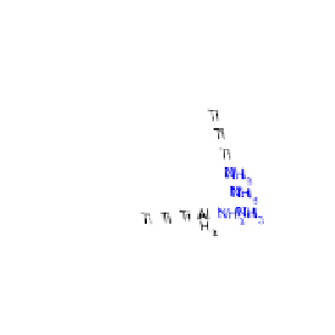 N.N.N.N.[AlH3].[Ti].[Ti].[Ti].[Ti].[Ti].[Ti]